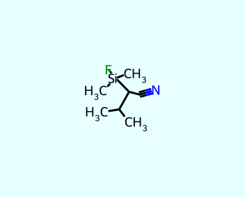 CC(C)C(C#N)[Si](C)(C)F